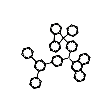 c1ccc(-c2cc(-c3ccccc3)cc(-c3ccc(N(c4cccc(C5(c6ccccc6)c6ccccc6-c6ccccc65)c4)c4cc5ccccc5c5ccccc45)cc3)c2)cc1